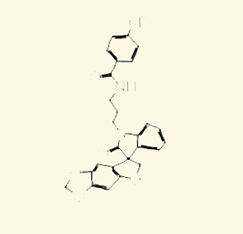 O=C(NCCCN1C(=O)C2(COc3cc4c(cc32)OCO4)c2ccccc21)c1ccc(C(F)(F)F)cc1